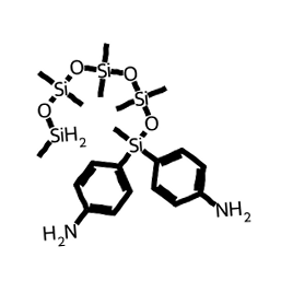 C[SiH2]O[Si](C)(C)O[Si](C)(C)O[Si](C)(C)O[Si](C)(c1ccc(N)cc1)c1ccc(N)cc1